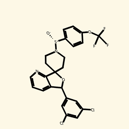 [O-][S@+](c1ccc(OC(F)(F)F)cc1)N1CCC2(CC1)OC(c1cc(Cl)cc(Cl)c1)c1cccnc12